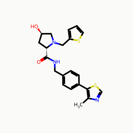 Cc1ncsc1-c1ccc(CNC(=O)[C@@H]2C[C@@H](O)CN2Cc2cccs2)cc1